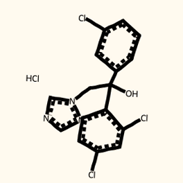 Cl.OC(Cn1cncn1)(c1cccc(Cl)c1)c1ccc(Cl)cc1Cl